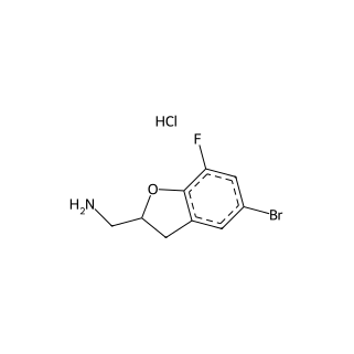 Cl.NCC1Cc2cc(Br)cc(F)c2O1